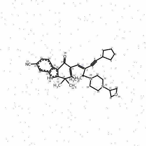 C=C(/C(C#CC1CCCC1)=C\C1=C(C)C(C)(C)c2[nH]c3cc(C#N)ccc3c2C1=O)N1CCN(C2COC2)CC1